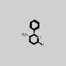 CC[C@H]1CC[C@H](N)[C@@H](c2ccccc2)N1